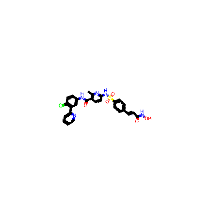 Cc1nc(NS(=O)(=O)c2ccc(/C=C/C(=O)NO)cc2)ccc1C(=O)Nc1ccc(Cl)c(-c2ccccn2)c1